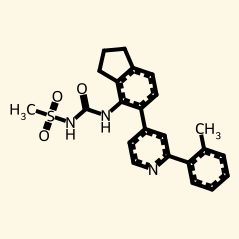 Cc1ccccc1-c1cc(-c2ccc3c(c2NC(=O)NS(C)(=O)=O)CCC3)ccn1